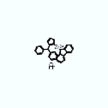 C1=CC(C(c2ccccc2)c2ccccc2)=[C]([Zr+2][CH]2c3ccccc3-c3ccccc32)C1.[Cl-].[Cl-]